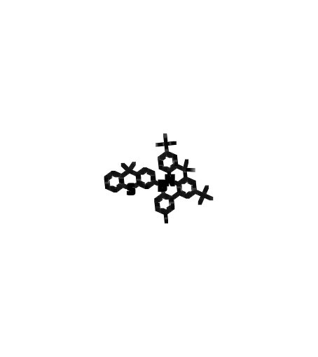 Cc1ccc2c(c1)-c1cc(C(C)(C)C)cc3c1N(B2c1ccc2c(c1)Sc1ccccc1C2(C)C)c1ccc(C(C)(C)C)cc1C3(C)C